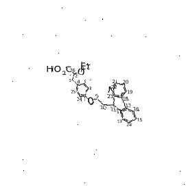 CCOC(Cc1ccc(OCCC2c3ccccc3-c3cccnc32)cc1)C(=O)O